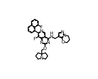 Fc1c(-c2cccc3cccc(F)c23)ncc2c(NCc3cnn4c3OCCC4)nc(OCC34CCCN3CCC4)nc12